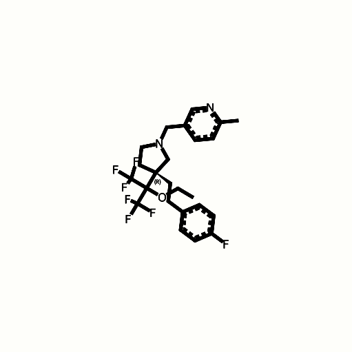 CCOC(C(F)(F)F)(C(F)(F)F)[C@]1(CCc2ccc(F)cc2)CCN(Cc2ccc(C)nc2)C1